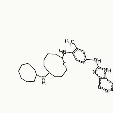 Cc1cc(Bc2nc3bbcbc3[nH]2)ccc1BC1CCCCC(BC2CCCCCCC2)CCCC1